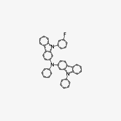 Fc1cccc(-n2c3ccccc3c3ccc(N(c4ccccc4)c4ccc5c6ccccc6n(-c6ccccc6)c5c4)cc32)c1